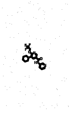 O=C(Nc1cccnc1)c1cnc(OCC(F)(F)F)c(C2CCCCC2)c1